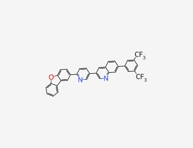 FC(F)(F)c1cc(-c2ccc3cc(-c4ccc(-c5ccc6oc7ccccc7c6c5)nc4)cnc3c2)cc(C(F)(F)F)c1